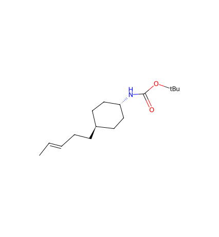 CC=CCC[C@H]1CC[C@H](NC(=O)OC(C)(C)C)CC1